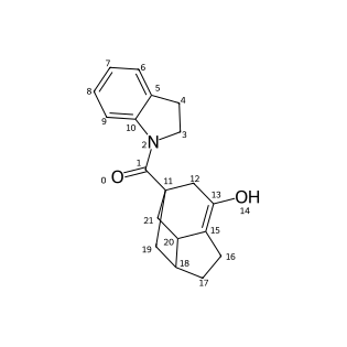 O=C(N1CCc2ccccc21)C12CC(O)=C3CCC(C1)C3C2